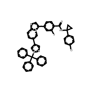 O=C(NC1(c2ccc(Cl)cc2)CC1)c1ccc(-c2cnc3ccc(-c4cnn(C(c5ccccc5)(c5ccccc5)c5ccccc5)c4)cn23)cc1F